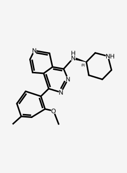 COc1cc(C)ccc1-c1nnc(N[C@@H]2CCCNC2)c2cnccc12